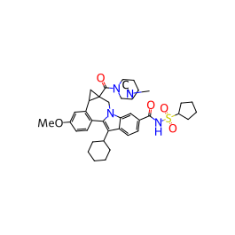 COc1ccc2c(c1)C1CC1(C(=O)N1CC3CCC1CN3C)Cn1c-2c(C2CCCCC2)c2ccc(C(=O)NS(=O)(=O)C3CCCC3)cc21